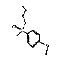 CCCC[Si](C)(Cl)c1ccc(OC)cc1